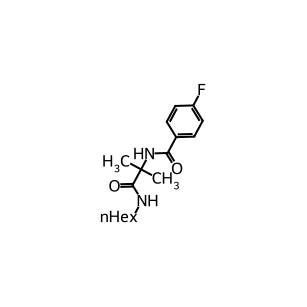 CCCCCCNC(=O)C(C)(C)NC(=O)c1ccc(F)cc1